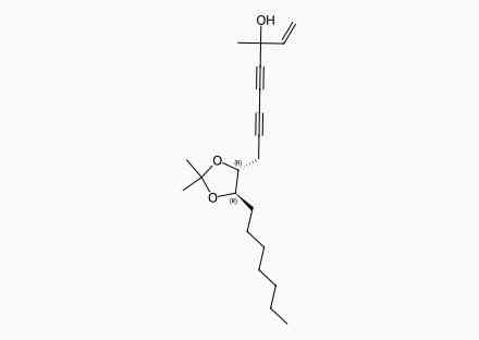 C=CC(C)(O)C#CC#CC[C@H]1OC(C)(C)O[C@@H]1CCCCCCC